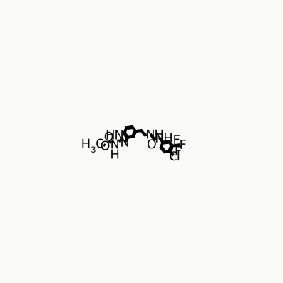 COC(=O)Nc1nc2cc(CCNC(=O)Nc3ccc(Cl)c(C(F)(F)F)c3)ccc2[nH]1